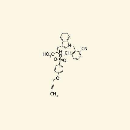 CC#CCOc1ccc(S(=O)(=O)NC(Cc2c(C)n(Cc3ccccc3C#N)c3ccccc23)C(=O)O)cc1